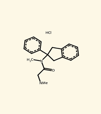 CNCC(=O)N(C)C1(c2ccccc2)Cc2ccccc2C1.Cl